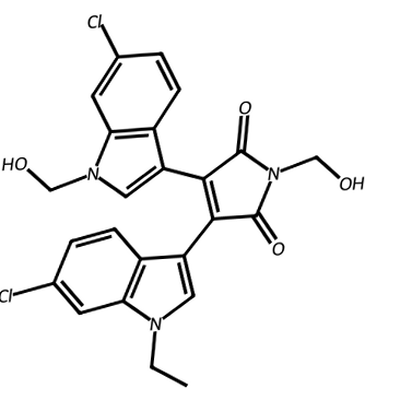 CCn1cc(C2=C(c3cn(CO)c4cc(Cl)ccc34)C(=O)N(CO)C2=O)c2ccc(Cl)cc21